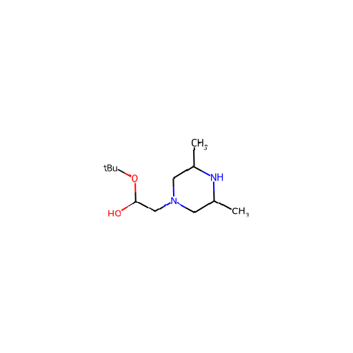 CC1CN(CC(O)OC(C)(C)C)CC(C)N1